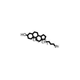 CC(C)CCCC[C@H]1CCC2C3CCC4CC(O)CCC4(C)C3CCC21C